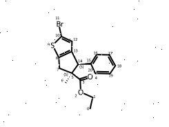 CCOC(=O)[C@@]1(C)Cc2sc(Br)cc2[C@H]1c1ccccc1